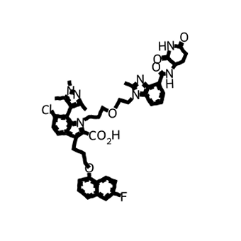 Cc1nn(C)c(C)c1-c1c(Cl)ccc2c(CCCOc3cccc4cc(F)ccc34)c(C(=O)O)n(CCCOCCn3c(C)nc4c(C(=O)NC5CCC(=O)NC5=O)cccc43)c12